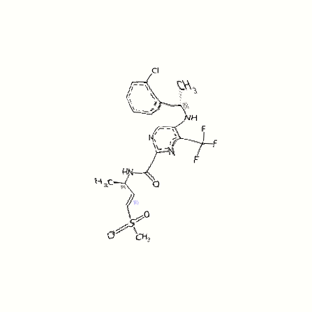 C[C@H](/C=C/S(C)(=O)=O)NC(=O)c1ncc(N[C@@H](C)c2ccccc2Cl)c(C(F)(F)F)n1